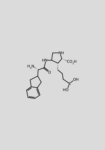 N[C@H](C(=O)NC1CN[C@H](C(=O)O)[C@@H]1CCCB(O)O)C1Cc2ccccc2C1